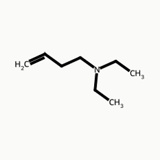 C=[C]CCN(CC)CC